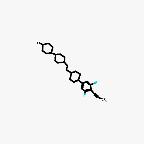 CCC1CCC(C2CCC(CCC3CCC(c4cc(F)c(C#CC(F)(F)F)c(F)c4)CC3)CC2)CC1